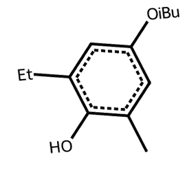 CCc1cc(OCC(C)C)cc(C)c1O